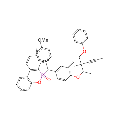 C=C/C=C\C1=C(C=C)P(=O)(C(C(/C=C\C(=C)OC(C)C(C)(C#CC)COc2ccccc2)=C/C=C)c2ccc(OC)cc2)Oc2ccccc21